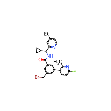 CCc1ccnc(C(NC(=O)c2cc(CBr)cc(-c3ccc(F)nc3C)c2)C2CC2)c1